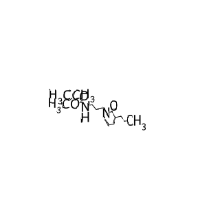 CCCc1cccn(CCCNC(=O)OC(C)(C)C)c1=O